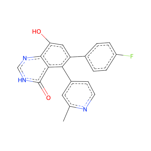 Cc1cc(-c2c(-c3ccc(F)cc3)cc(O)c3nc[nH]c(=O)c23)ccn1